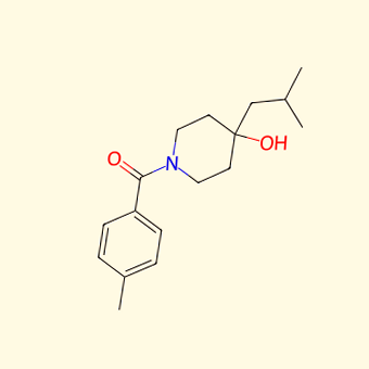 Cc1ccc(C(=O)N2CCC(O)(CC(C)C)CC2)cc1